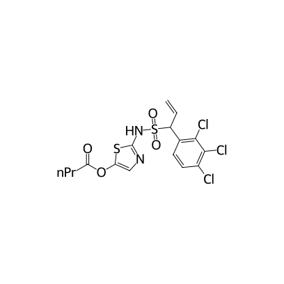 C=CC(c1ccc(Cl)c(Cl)c1Cl)S(=O)(=O)Nc1ncc(OC(=O)CCC)s1